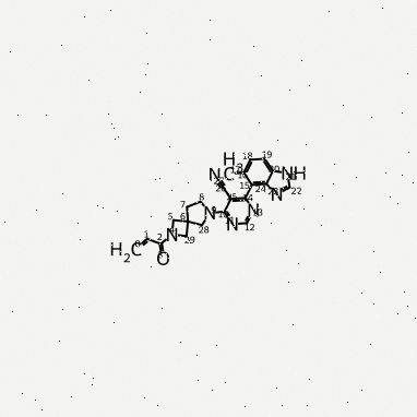 C=CC(=O)N1CC2(CCN(c3ncnc(-c4c(C)ccc5[nH]cnc45)c3C#N)C2)C1